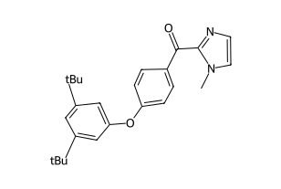 Cn1ccnc1C(=O)c1ccc(Oc2cc(C(C)(C)C)cc(C(C)(C)C)c2)cc1